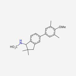 COc1c(C)cc(-c2ccc3c(c2)CC(C)(C)C3NC(=O)O)cc1C